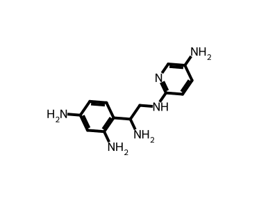 Nc1ccc(NCC(N)c2ccc(N)cc2N)nc1